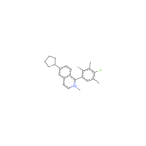 Cc1cc(-c2c3ccc(C4CCCC4)cc3cc[n+]2C)c(C)c(C)c1F